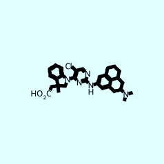 CN(C)C1Cc2cc(Nc3ncc(Cl)c(N4CC(C)(CC(=O)O)c5ccccc54)n3)cc3c2C(CCC3)C1